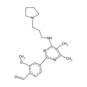 COc1cc(-c2nc(C)c(C)c(NCCCN3CCCC3)n2)ccc1C=O